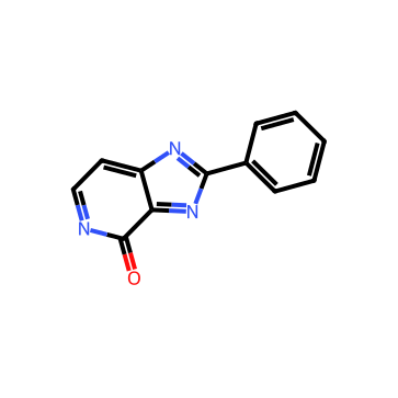 O=C1N=CC=C2N=C(c3ccccc3)N=C12